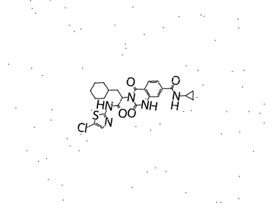 O=C(NC1CC1)c1ccc2c(=O)n(C(CC3CCCCC3)C(=O)Nc3ncc(Cl)s3)c(=O)[nH]c2c1